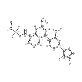 COc1cc(-c2cnn(C)c2C)ccc1-c1nc(N)nc2c(NCC(C)(C)OC)nccc12